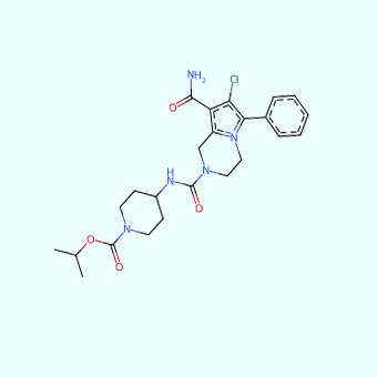 CC(C)OC(=O)N1CCC(NC(=O)N2CCn3c(c(C(N)=O)c(Cl)c3-c3ccccc3)C2)CC1